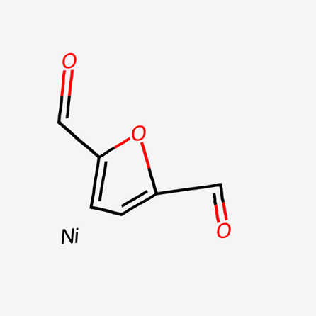 O=Cc1ccc(C=O)o1.[Ni]